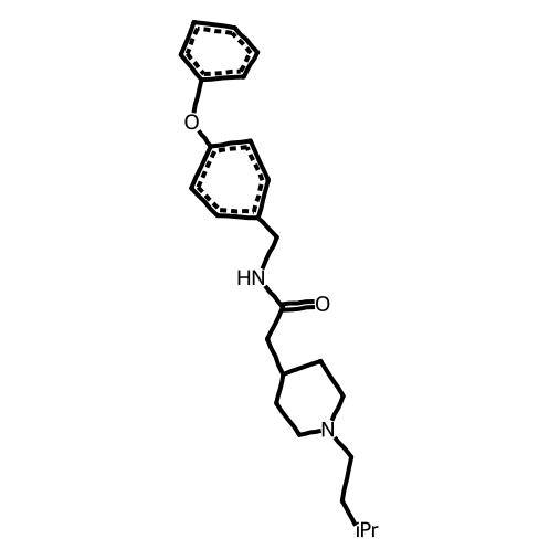 CC(C)CCN1CCC(CC(=O)NCc2ccc(Oc3ccccc3)cc2)CC1